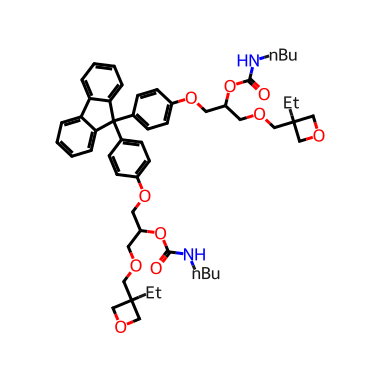 CCCCNC(=O)OC(COCC1(CC)COC1)COc1ccc(C2(c3ccc(OCC(COCC4(CC)COC4)OC(=O)NCCCC)cc3)c3ccccc3-c3ccccc32)cc1